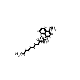 CCCCCCCCC(=O)NS(=O)(=O)c1ccc(N)c2ccccc12